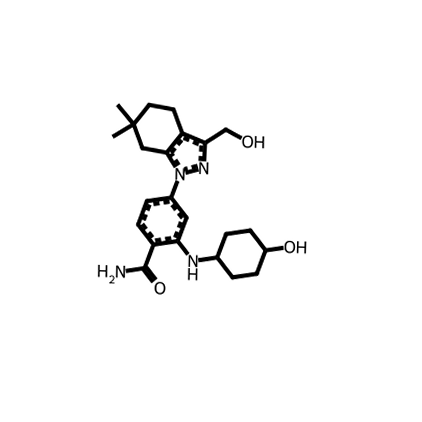 CC1(C)CCc2c(CO)nn(-c3ccc(C(N)=O)c(NC4CCC(O)CC4)c3)c2C1